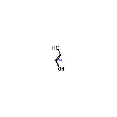 O/[C]=C/O